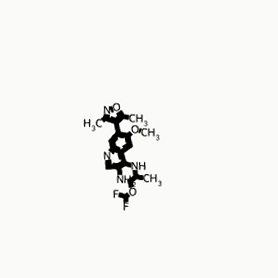 COc1cc2c(NC(C)COC(F)F)c(N)cnc2cc1-c1c(C)noc1C